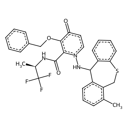 Cc1cccc2c1CSc1ccccc1C2Nn1ccc(=O)c(OCc2ccccc2)c1C(=O)N[C@H](C)C(F)(F)F